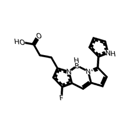 O=C(O)CCc1cc(F)c2n1B[N+]1=C(c3ccc[nH]3)C=CC1=C2